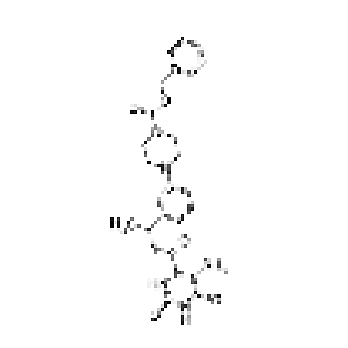 C[C@H](NC(=O)c1[nH]c(=O)[nH]c(=O)c1N)c1cccc(N2CCN(C(=O)OCc3ccccc3)CC2)c1